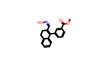 COC(=O)c1cccc(C2=C(/C=N\O)CCc3ccccc32)c1